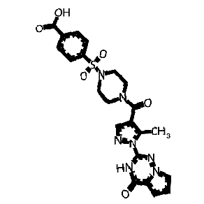 Cc1c(C(=O)N2CCN(S(=O)(=O)c3ccc(C(=O)O)cc3)CC2)cnn1-c1nn2cccc2c(=O)[nH]1